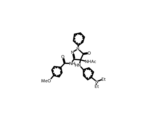 CCN(CC)c1ccc(NC2(NC(C)=O)C(=O)N(c3ccccc3)N=C2NC(=O)c2ccc(OC)cc2)cc1